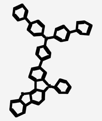 c1ccc(-c2ccc(N(c3ccc(-c4ccccc4)cc3)c3ccc(-c4ccc5c6c7sc8ccccc8c7ccc6n(-c6ccccc6)c5c4)cc3)cc2)cc1